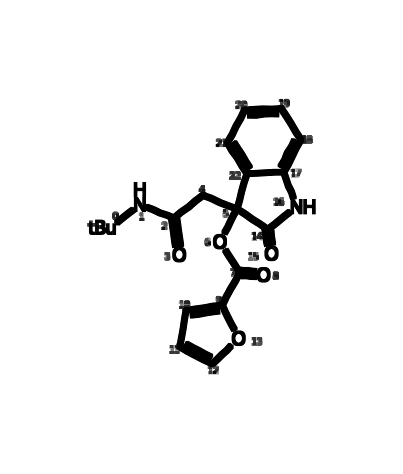 CC(C)(C)NC(=O)CC1(OC(=O)c2ccco2)C(=O)Nc2ccccc21